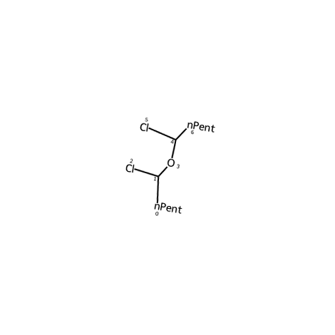 CCCCCC(Cl)OC(Cl)CCCCC